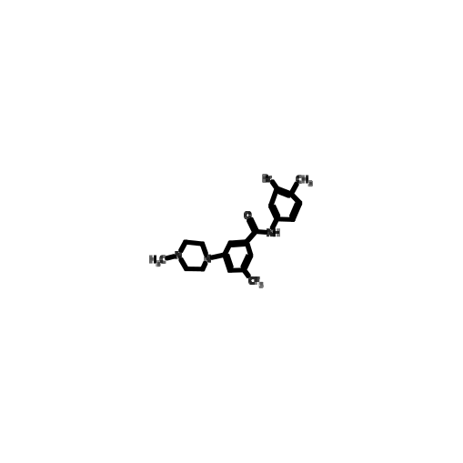 Cc1ccc(NC(=O)c2cc(N3CCN(C)CC3)cc(C(F)(F)F)c2)cc1Br